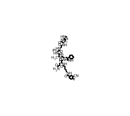 CC(C)[C@H](NC(=O)[C@H](C)NC(=O)[C@H](Cc1c[nH]c2ccccc12)NC(=O)[C@H](CCC(N)=O)NC(=O)CCCCNC(=O)c1ccc(F)c(C#N)c1)C(=O)NCC(=O)N[C@@H](Cc1c[nH]cn1)C(N)=O